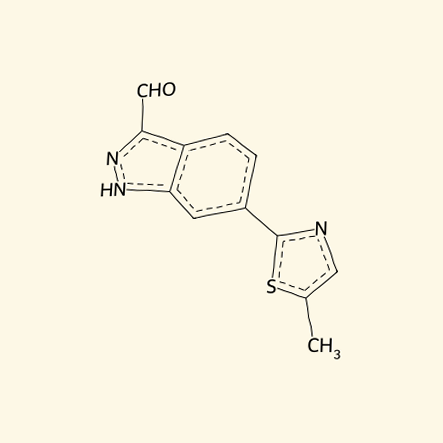 Cc1cnc(-c2ccc3c(C=O)n[nH]c3c2)s1